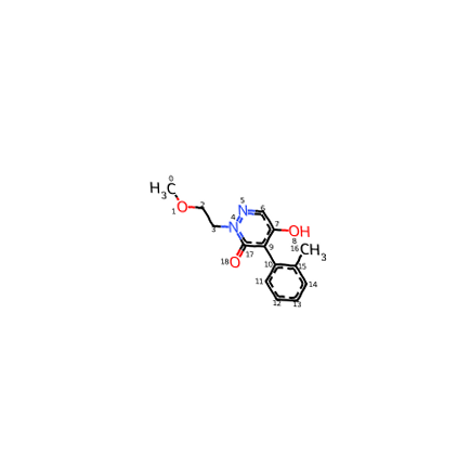 COCCn1ncc(O)c(-c2ccccc2C)c1=O